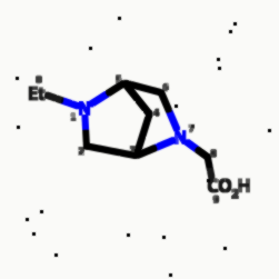 CCN1CC2CC1CN2CC(=O)O